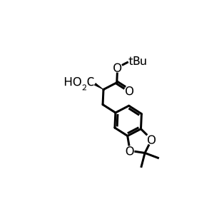 CC(C)(C)OC(=O)[C@@H](Cc1ccc2c(c1)OC(C)(C)O2)C(=O)O